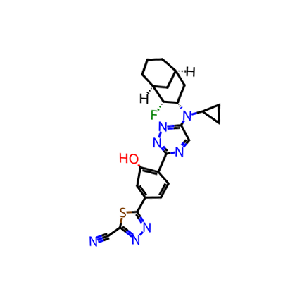 N#Cc1nnc(-c2ccc(-c3ncc(N(C4CC4)[C@H]4C[C@@H]5CCC[C@@H](C5)[C@H]4F)nn3)c(O)c2)s1